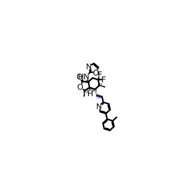 Cc1ccccc1-c1ccc(/C=C/[C@@H]2[C@@H]3[C@@H](C)OC(=O)[C@]3(Nc3ncco3)CC(F)(F)[C@H]2C)nc1